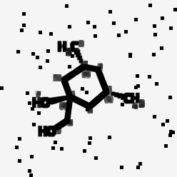 C[C@@H]1C[C@H](C)C[C@](O)(CO)C1